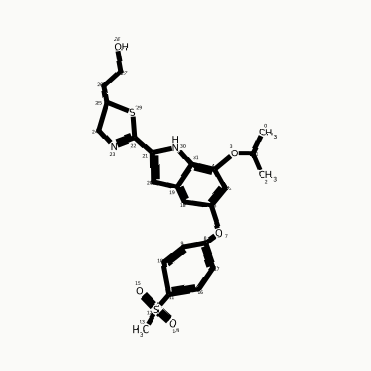 CC(C)Oc1cc(Oc2ccc(S(C)(=O)=O)cc2)cc2cc(C3=NCC(CCO)S3)[nH]c12